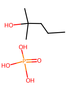 CCCC(C)(C)O.O=P(O)(O)O